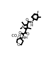 Cc1cc(NC(=O)c2c(C)c(C(=O)C(=O)NC3(C(=O)O)CCOCC3)n(C)c2C)ccc1F